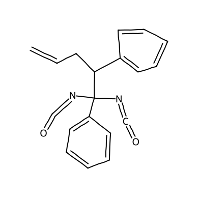 C=CCC(c1ccccc1)C(N=C=O)(N=C=O)c1ccccc1